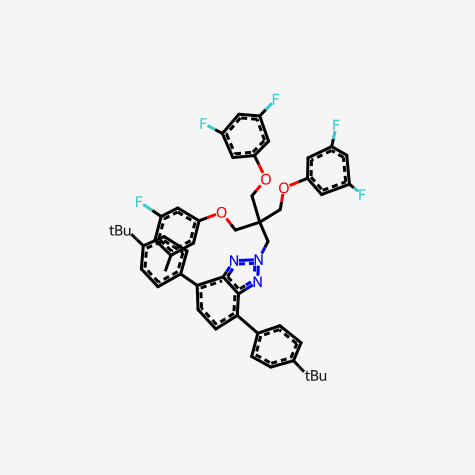 Cc1cc(F)cc(OCC(COc2cc(F)cc(F)c2)(COc2cc(F)cc(F)c2)Cn2nc3c(-c4ccc(C(C)(C)C)cc4)ccc(-c4ccc(C(C)(C)C)cc4)c3n2)c1